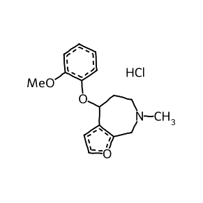 COc1ccccc1OC1CCN(C)Cc2occc21.Cl